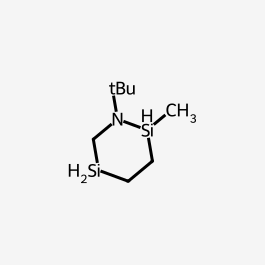 C[SiH]1CC[SiH2]CN1C(C)(C)C